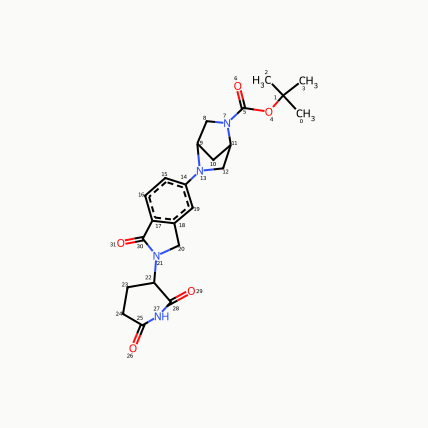 CC(C)(C)OC(=O)N1CC2CC1CN2c1ccc2c(c1)CN(C1CCC(=O)NC1=O)C2=O